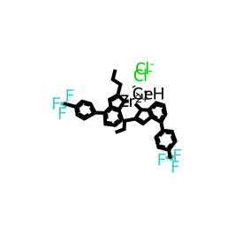 CCCC1=Cc2c(-c3ccc(C(F)(F)F)cc3)cccc2[CH]1[Zr+2]([CH]1C(CCC)=Cc2c(-c3ccc(C(F)(F)F)cc3)cccc21)[GeH]([CH3])[CH3].[Cl-].[Cl-]